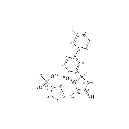 Cc1cccc(-c2cccc(C3(C)NC(=N)N(C[C@@H]4CCN(S(C)(=O)=O)C4)C3=O)c2)c1